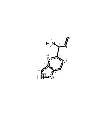 C=CC(N)c1ncc2n[nH]cc2n1